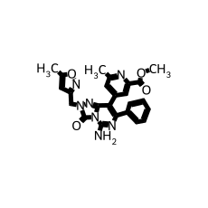 COC(=O)c1cc(-c2c(-c3ccccc3)nc(N)n3c(=O)n(Cc4cc(C)on4)nc23)cc(C)n1